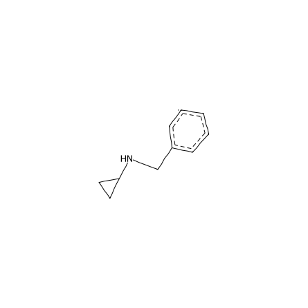 [c]1cccc(CNC2CC2)c1